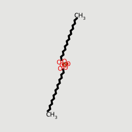 CCCCCCCCCCCCCCCCCC(=O)OS(=O)(=O)OC(=O)CCCCCCCCCCCCCCCCC